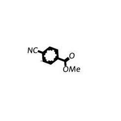 COC(=O)c1c[c]c(C#N)cc1